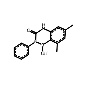 Cc1cc(C)c2c(c1)NC(=O)N(c1ccccc1)B2O